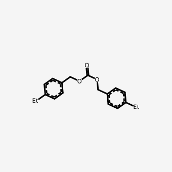 CCc1ccc(COC(=O)OCc2ccc(CC)cc2)cc1